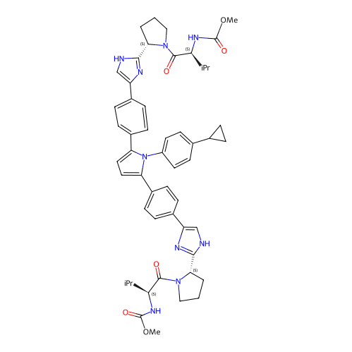 COC(=O)N[C@H](C(=O)N1CCC[C@H]1c1nc(-c2ccc(-c3ccc(-c4ccc(-c5c[nH]c([C@@H]6CCCN6C(=O)[C@@H](NC(=O)OC)C(C)C)n5)cc4)n3-c3ccc(C4CC4)cc3)cc2)c[nH]1)C(C)C